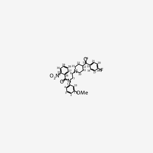 COc1cccc(N(CCN2CCC(C(=O)c3ccc(F)cc3)CC2)C(=O)c2ccccc2[N+](=O)[O-])c1